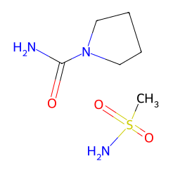 CS(N)(=O)=O.NC(=O)N1CCCC1